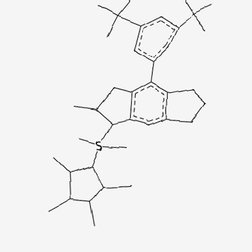 CC1Cc2c(cc3c(c2-c2cc(C(C)(C)C)cc(C(C)(C)C)c2)CCC3)C1S(C)(C)C1C(C)C(C)C(C)C1C